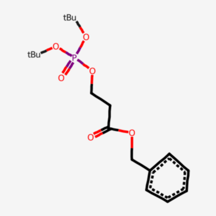 CC(C)(C)OP(=O)(OCCC(=O)OCc1ccccc1)OC(C)(C)C